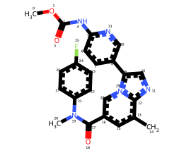 COC(=O)Nc1ccc(-c2cnc3c(C)cc(C(=O)N(C)c4ccc(F)cc4)cn23)cn1